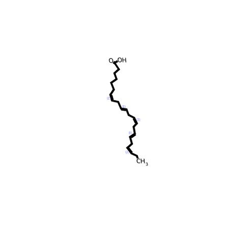 CC/C=C\C/C=C/C/C=C\C/C=C/C/C=C\CCCCCC(=O)O